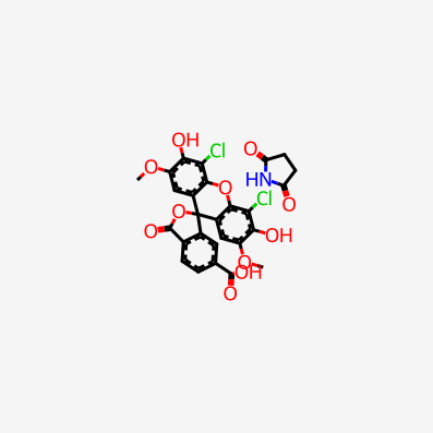 COc1cc2c(c(Cl)c1O)Oc1c(cc(OC)c(O)c1Cl)C21OC(=O)c2ccc(C(=O)O)cc21.O=C1CCC(=O)N1